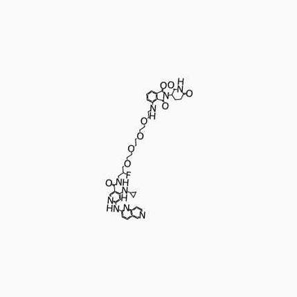 O=C1CCC(N2C(=O)c3cccc(NCCOCCOCCOCCOCC(F)CNC(=O)c4cnc(Nc5ccc6cnccc6n5)cc4NC4CC4)c3C2=O)C(=O)N1